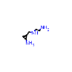 NCCNCC1=CC1N